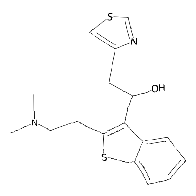 CN(C)CCc1sc2ccccc2c1C(O)Cc1cscn1